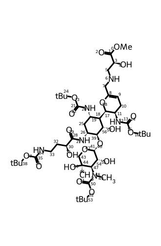 COC(=O)[C@@H](O)CNCC1=CC[C@@H](NC(=O)OC(C)(C)C)[C@@H](C2[C@@H](NC(=O)OC(C)(C)C)C[C@@H](NC(=O)[C@@H](O)CCNC(=O)OC(C)(C)C)[C@H](O[C@H]3OC[C@](C)(O)[C@H](N(C)C(=O)OC(C)(C)C)[C@H]3O)[C@H]2O)O1